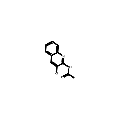 CC(=O)Nc1nc2ccccc2cc1Cl